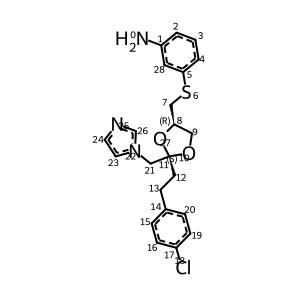 Nc1cccc(SC[C@H]2CO[C@](CCc3ccc(Cl)cc3)(Cn3ccnc3)O2)c1